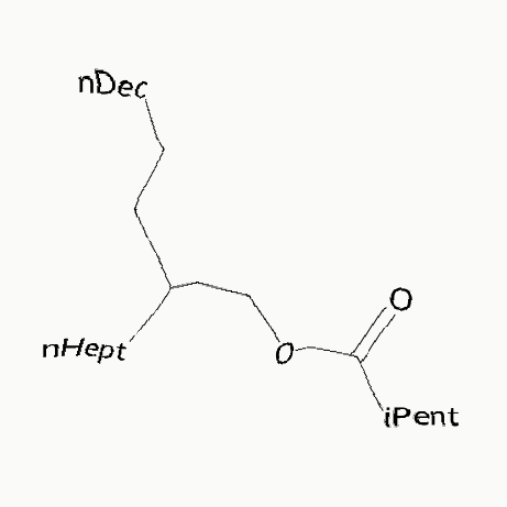 CCCCCCCCCCCCC(CCCCCCC)COC(=O)C(C)CCC